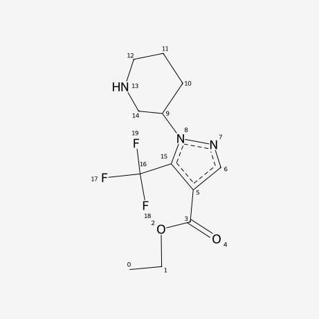 CCOC(=O)c1cnn(C2CCCNC2)c1C(F)(F)F